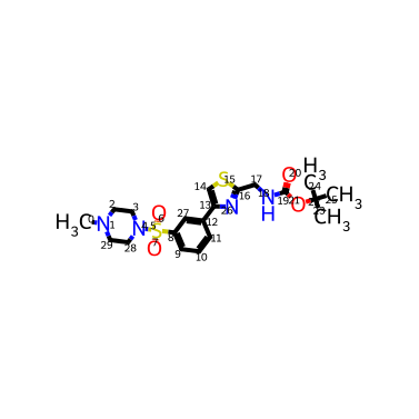 CN1CCN(S(=O)(=O)c2cccc(-c3csc(CNC(=O)OC(C)(C)C)n3)c2)CC1